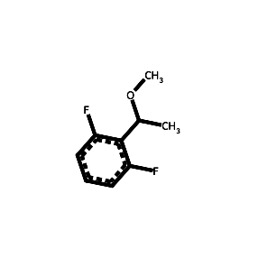 COC(C)c1c(F)cccc1F